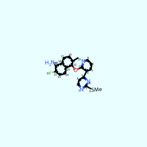 CSc1nccc(-c2cccnc2Oc2c(C)ccc3c(N)c(F)ccc23)n1